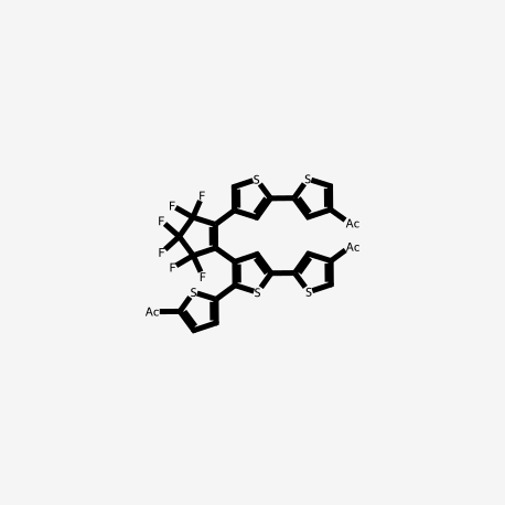 CC(=O)c1csc(-c2cc(C3=C(c4cc(-c5cc(C(C)=O)cs5)sc4-c4ccc(C(C)=O)s4)C(F)(F)C(F)(F)C3(F)F)cs2)c1